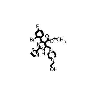 CCOC(=O)C1=C(CN2CCN(CCO)CC2)NC(c2nccs2)=NC1c1ccc(F)cc1Br